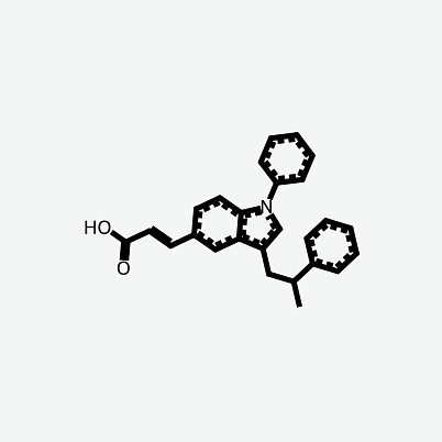 CC(Cc1cn(-c2ccccc2)c2ccc(C=CC(=O)O)cc12)c1ccccc1